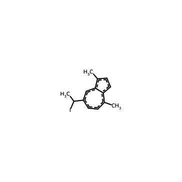 Cc1ccc(C(C)I)cc2c(C)ccc1-2